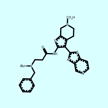 CC[C@H](C)N(CCC(=O)Nc1sc2c(c1-c1nc3cnccc3s1)CCN(C(=O)O)C2)Cc1ccccc1